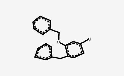 Clc1ccc(Cc2ccccc2)c(OCc2ccccc2)c1